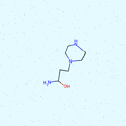 NC(O)CCN1CCNCC1